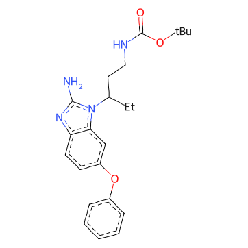 CCC(CCNC(=O)OC(C)(C)C)n1c(N)nc2ccc(Oc3ccccc3)cc21